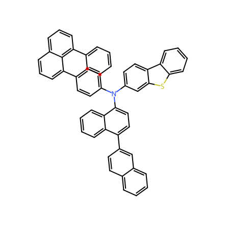 c1ccc(-c2cccc3cccc(-c4ccc(N(c5ccc6c(c5)sc5ccccc56)c5ccc(-c6ccc7ccccc7c6)c6ccccc56)cc4)c23)cc1